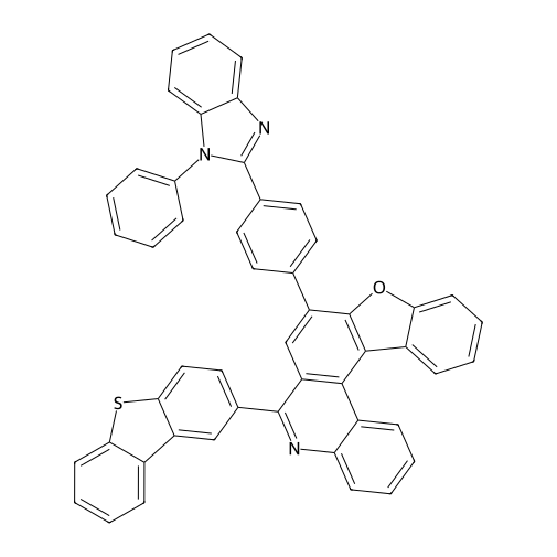 c1ccc(-n2c(-c3ccc(-c4cc5c(-c6ccc7sc8ccccc8c7c6)nc6ccccc6c5c5c4oc4ccccc45)cc3)nc3ccccc32)cc1